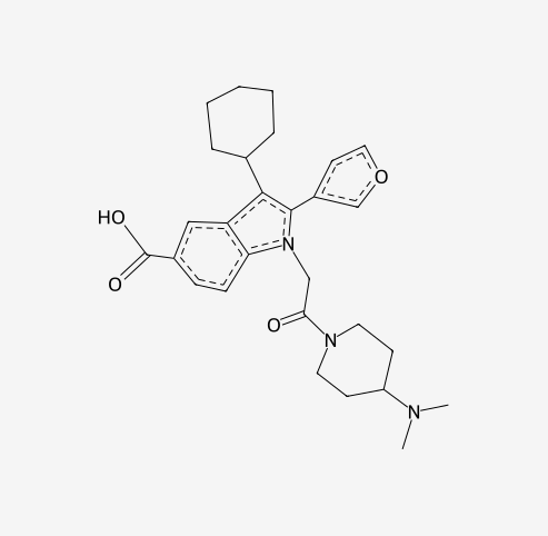 CN(C)C1CCN(C(=O)Cn2c(-c3ccoc3)c(C3CCCCC3)c3cc(C(=O)O)ccc32)CC1